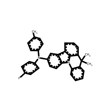 Cc1ccc(N(c2ccc(F)cc2)c2ccc3c(c2)c2cccc4c2n3-c2ccccc2C4(C)C)cc1